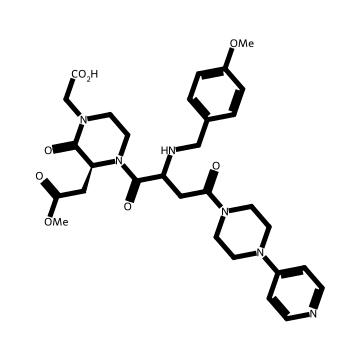 COC(=O)C[C@H]1C(=O)N(CC(=O)O)CCN1C(=O)C(CC(=O)N1CCN(c2ccncc2)CC1)NCc1ccc(OC)cc1